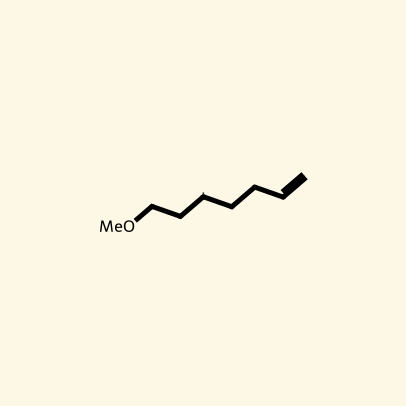 C=CCC[CH]CCOC